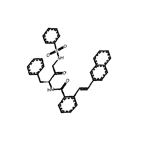 O=C(N[C@@H](Cc1ccccc1)C(=O)CNS(=O)(=O)c1ccccc1)c1ccccc1C=Cc1ccc2ccccc2c1